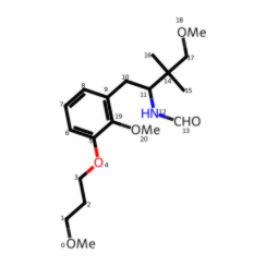 COCCCOc1cccc(CC(NC=O)C(C)(C)COC)c1OC